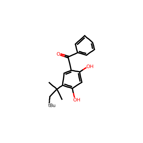 CC(C)(C)CC(C)(C)c1cc(C(=O)c2ccccc2)c(O)cc1O